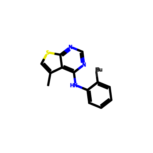 CCC(C)c1ccccc1Nc1ncnc2scc(C)c12